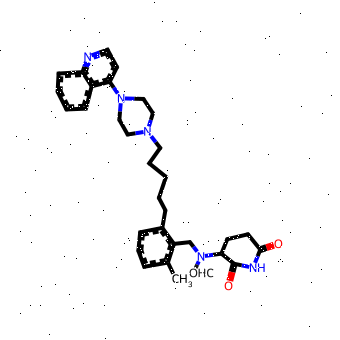 Cc1cccc(CCCCCN2CCN(c3ccnc4ccccc34)CC2)c1CN(C=O)C1CCC(=O)NC1=O